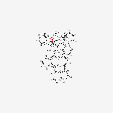 CC(C)(C)[Si](c1ccccc1)(c1ccccc1)c1cc(-c2c3ccccc3c(-c3cccc4ccccc34)c3ccccc23)cc2c1oc1ccccc12